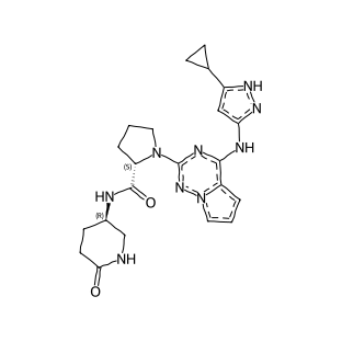 O=C1CC[C@@H](NC(=O)[C@@H]2CCCN2c2nc(Nc3cc(C4CC4)[nH]n3)c3cccn3n2)CN1